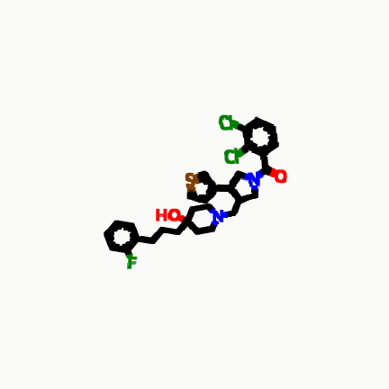 O=C(c1cccc(Cl)c1Cl)N1CC(CN2CCC(O)(CCCc3ccccc3F)CC2)C(c2ccsc2)C1